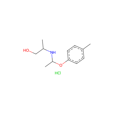 Cc1ccc(OC(C)NC(C)CO)cc1.Cl